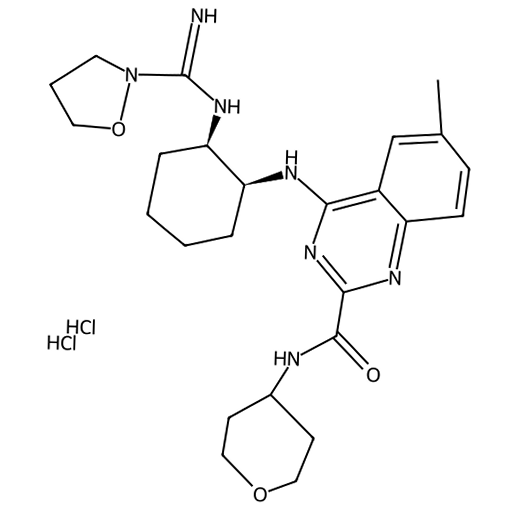 Cc1ccc2nc(C(=O)NC3CCOCC3)nc(N[C@H]3CCCC[C@H]3NC(=N)N3CCCO3)c2c1.Cl.Cl